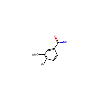 COc1cc(C(N)=O)ccc1C(C)C